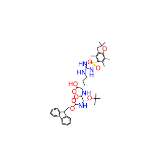 Cc1c(C)c(S(=O)(=O)NC(=N)NCCC[C@H](NC(=O)[C@H](COC(C)(C)C)NC(=O)OCC2c3ccccc3-c3ccccc32)C(=O)O)c(C)c2c1OC(C)(C)C2